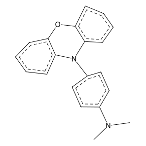 CN(C)c1ccc(N2c3ccccc3Oc3ccccc32)cc1